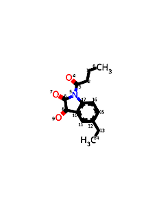 CCCC(=O)N1C(=O)C(=O)c2cc(CC)ccc21